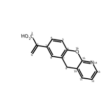 C=C(C(=O)O)c1ccc2c(c1)Cc1cccnc1O2